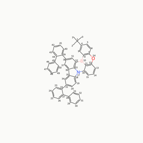 CC(C)(C)c1ccc2c(c1)B1c3c(cccc3-n3c4ccc(-c5ccccc5-c5ccccc5)cc4c4cc(-c5ccccc5-c5ccccc5)cc1c43)O2